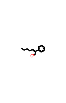 CCCCC=C(C=O)c1ccccc1